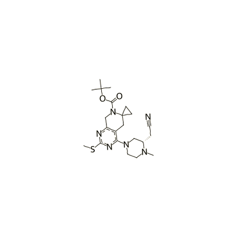 CSc1nc2c(c(N3CCN(C)[C@@H](CC#N)C3)n1)CC1(CC1)N(C(=O)OC(C)(C)C)C2